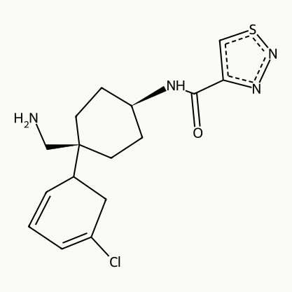 NC[C@]1(C2C=CC=C(Cl)C2)CC[C@H](NC(=O)c2csnn2)CC1